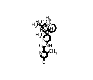 Cc1cc(Cl)cnc1C(=O)NC1C=CC(F)([C@@]2(C)N=C(N)C(C)(C)S3(O)NCCCC[C@H]23)C=N1